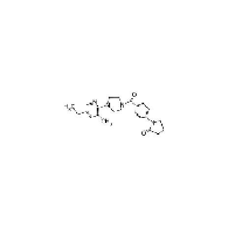 CCc1cnc(N2CCN(C(=O)c3ccc(N4CCCC4=O)cc3)CC2)c(C)c1